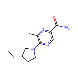 CC[C@H]1CCN(c2ncc(C(N)=O)nc2C)C1